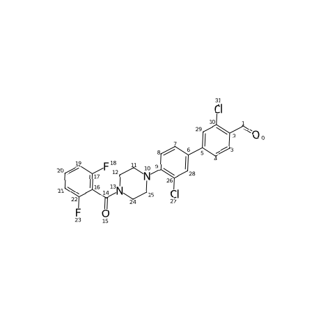 O=Cc1ccc(-c2ccc(N3CCN(C(=O)c4c(F)cccc4F)CC3)c(Cl)c2)cc1Cl